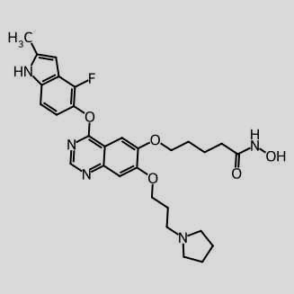 Cc1cc2c(F)c(Oc3ncnc4cc(OCCCN5CCCC5)c(OCCCCC(=O)NO)cc34)ccc2[nH]1